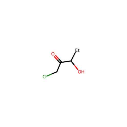 CCC(O)C(=O)CCl